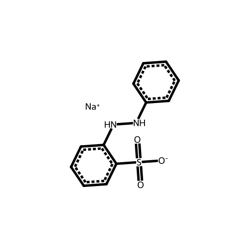 O=S(=O)([O-])c1ccccc1NNc1ccccc1.[Na+]